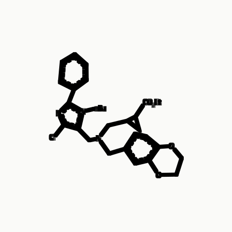 CCCCn1c(-c2ccccc2)nc(Cl)c1CN(Cc1ccc2c(c1)OCCO2)CC1CC1C(=O)OCC